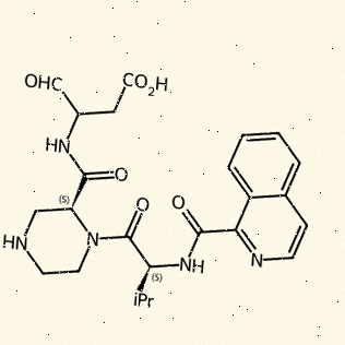 CC(C)[C@H](NC(=O)c1nccc2ccccc12)C(=O)N1CCNC[C@H]1C(=O)NC(C=O)CC(=O)O